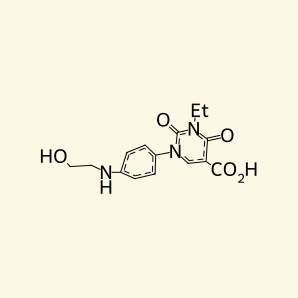 CCn1c(=O)c(C(=O)O)cn(-c2ccc(NCCO)cc2)c1=O